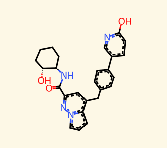 O=C(N[C@@H]1CCCC[C@H]1O)c1cc(Cc2ccc(-c3ccc(O)nc3)cc2)c2cccn2n1